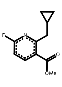 COC(=O)c1ccc(F)nc1CC1CC1